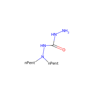 CCCCCN(CCCCC)NC(=O)NN